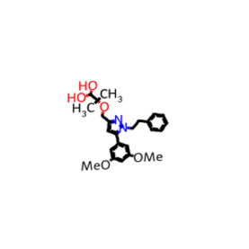 COc1cc(OC)cc(-c2cc(COC(C)(C)C(O)O)nn2CCc2ccccc2)c1